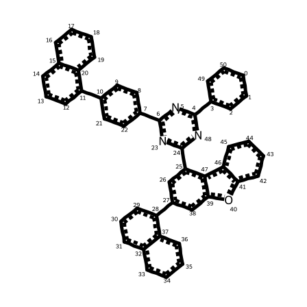 c1ccc(-c2nc(-c3ccc(-c4cccc5ccccc45)cc3)nc(-c3cc(-c4cccc5ccccc45)cc4oc5ccccc5c34)n2)cc1